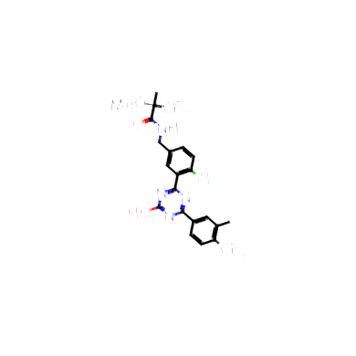 CO[C@](C)(C(=O)NCc1ccc(Cl)c(-c2nc(O)nc(-c3ccc(C(F)(F)F)c(C)c3)n2)c1)C(F)(F)F